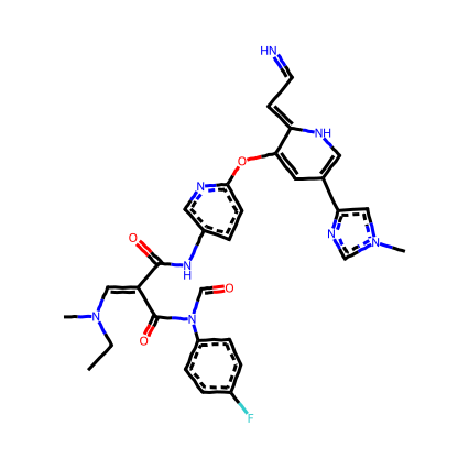 CCN(C)/C=C(/C(=O)Nc1ccc(OC2=CC(c3cn(C)cn3)=CN/C2=C\C=N)nc1)C(=O)N(C=O)c1ccc(F)cc1